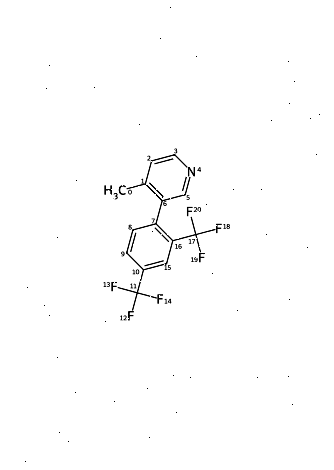 Cc1ccncc1-c1ccc(C(F)(F)F)cc1C(F)(F)F